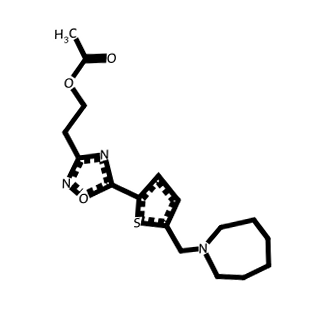 CC(=O)OCCc1noc(-c2ccc(CN3CCCCCC3)s2)n1